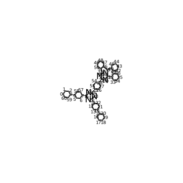 c1ccc(-c2ccc(-c3nc(-c4ccc(-c5ccccc5)cc4)nc(-c4ccc(-c5nc(-c6ccccc6)n6c(-c7ccccc7)c7ccccc7c6n5)cc4)n3)cc2)cc1